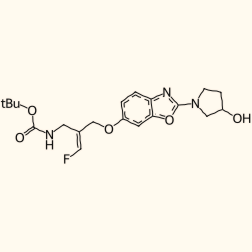 CC(C)(C)OC(=O)NCC(=CF)COc1ccc2nc(N3CCC(O)C3)oc2c1